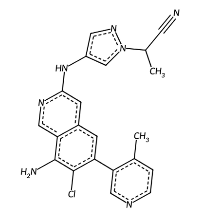 Cc1ccncc1-c1cc2cc(Nc3cnn(C(C)C#N)c3)ncc2c(N)c1Cl